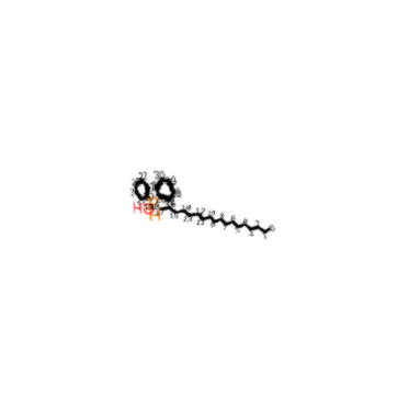 CCCCCCCCCCCCCCCCCC[PH](O)(c1ccccc1)c1ccccc1